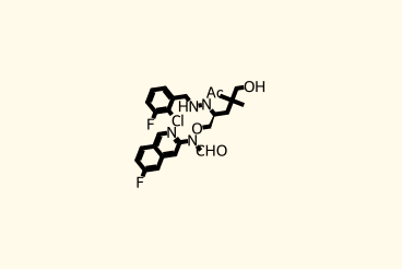 CC(=O)N(NCc1cccc(F)c1Cl)[C@H](CON(C=O)c1cc2cc(F)ccc2cn1)CC(C)(C)CO